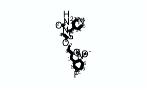 NC(=O)N1[C]=C(OCC=CCc2cc(F)ccc2[N+](=O)[O-])SC1c1ccncc1